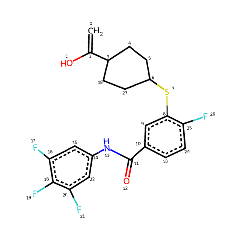 C=C(O)C1CCC(Sc2cc(C(=O)Nc3cc(F)c(F)c(F)c3)ccc2F)CC1